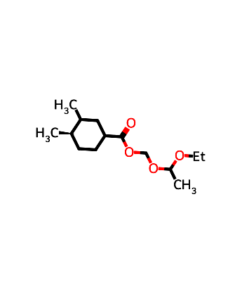 CCOC(C)OCOC(=O)C1CC[C@@H](C)C(C)C1